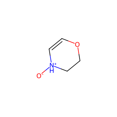 [O-][NH+]1C=COCC1